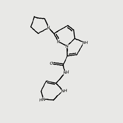 O=C(NC1=CCNCN1)C1=CNC2C=CC(N3CCCC3)=NN12